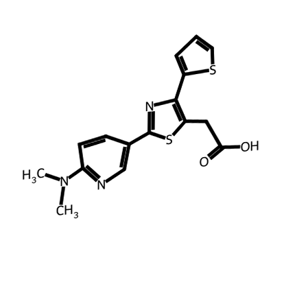 CN(C)c1ccc(-c2nc(-c3cccs3)c(CC(=O)O)s2)cn1